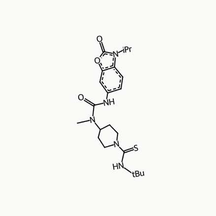 CC(C)n1c(=O)oc2cc(NC(=O)N(C)C3CCN(C(=S)NC(C)(C)C)CC3)ccc21